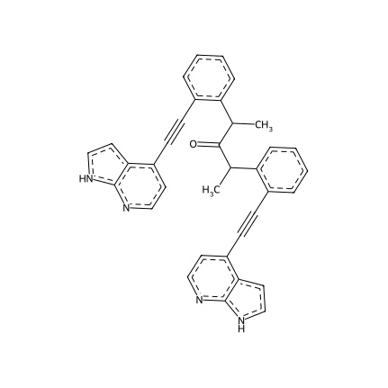 CC(C(=O)C(C)c1ccccc1C#Cc1ccnc2[nH]ccc12)c1ccccc1C#Cc1ccnc2[nH]ccc12